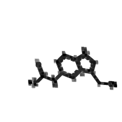 N#CCc1c[nH]c2ccc(NC(=O)C(F)(F)F)cc12